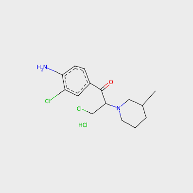 CC1CCCN(C(CCl)C(=O)c2ccc(N)c(Cl)c2)C1.Cl